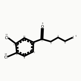 O=C(CCCI)c1ccc(Cl)c(Cl)c1